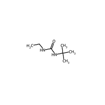 [CH2]CNC(=O)NC(C)(C)C